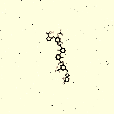 Cc1c(-c2nc3cc(CN4CCC[C@H]4C(=O)O)c(OC(F)F)cc3o2)cccc1-c1cccc(-c2nc3cc(CN4CC5(CCC(=O)N5)C4)cc(C(F)(F)F)c3o2)c1C